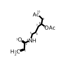 C=CC(=O)NCCCC(CC(C)=O)OC(C)=O